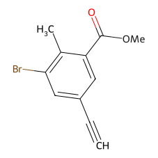 C#Cc1cc(Br)c(C)c(C(=O)OC)c1